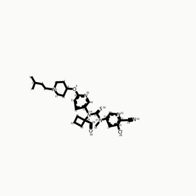 CC(C)CCN1CCC(Oc2ccc(N(C(=S)N(C)c3cnc(C#N)c(Cl)c3)C3(C=O)CCC3)cn2)CC1